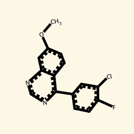 COc1ccc2c(-c3ccc(F)c(Cl)c3)ncnc2c1